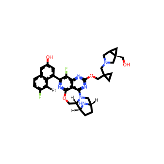 CCc1c(F)ccc2cc(O)cc(-c3nc4c5c(nc(OCC6(CN7CC8C[C@]8(CO)C7)CC6)nc5c3F)N3C[C@@H]5CC[C@@H](N5)[C@@H]3CO4)c12